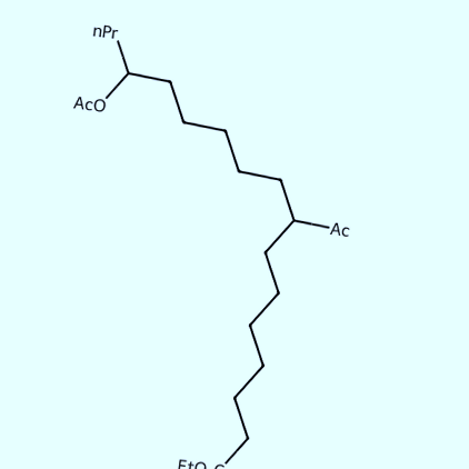 CCCC(CCCCCC(CCCCCCC(=O)OCC)C(C)=O)OC(C)=O